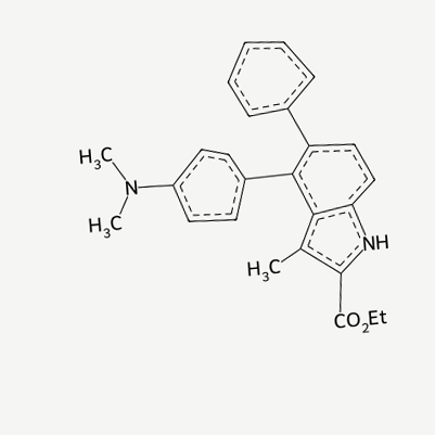 CCOC(=O)c1[nH]c2ccc(-c3ccccc3)c(-c3ccc(N(C)C)cc3)c2c1C